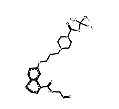 CC(C)(C)OC(=O)N1CCN(CCCOc2ccc3nccc(C(=O)NCC=O)c3c2)CC1